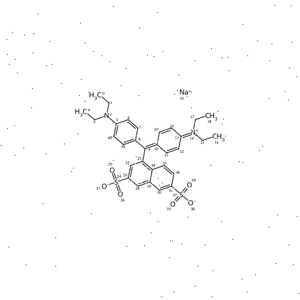 CCN(CC)c1ccc(C(=C2C=CC(=[N+](CC)CC)C=C2)c2cc(S(=O)(=O)[O-])cc3cc(S(=O)(=O)[O-])ccc23)cc1.[Na+]